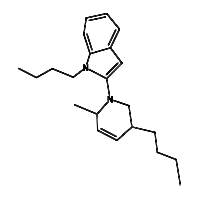 CCCCC1C=CC(C)N(c2cc3ccccc3n2CCCC)C1